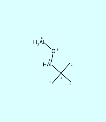 C[C](C)(C)[AlH][O][AlH2]